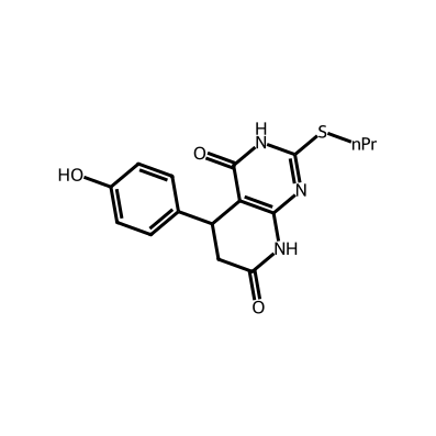 CCCSc1nc2c(c(=O)[nH]1)C(c1ccc(O)cc1)CC(=O)N2